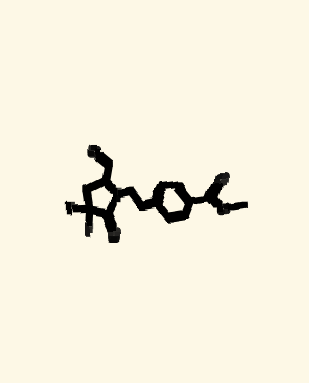 COC(=O)c1ccc(CCN2C(=O)C(F)(F)CC2C=O)cc1